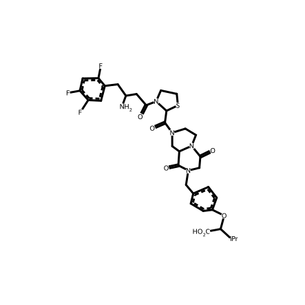 CC(C)C(Oc1ccc(CN2CC(=O)N3CCN(C(=O)C4SCCN4C(=O)CC(N)Cc4cc(F)c(F)cc4F)CC3C2=O)cc1)C(=O)O